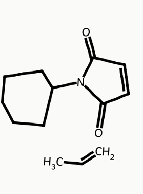 C=CC.O=C1C=CC(=O)N1C1CCCCC1